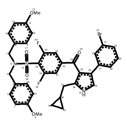 COc1ccc(CN(Cc2ccc(OC)cc2)S(=O)(=O)c2c(F)cc(C(=O)c3c(-c4cccc(Br)c4)c[nH]c3CC3CC3)cc2F)cc1